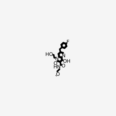 COCCNC(=O)c1c(O)c2ncc(Cc3ccc(F)cc3)cc2n(CCO)c1=O